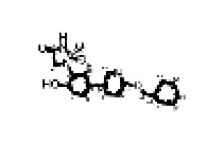 O=C1CN(c2c(O)ccc(-c3ccc(OCc4ccccc4)nc3)c2F)S(=O)(=O)N1